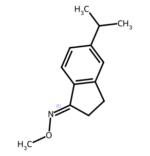 CO/N=C1\CCc2cc(C(C)C)ccc21